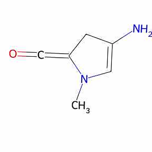 CN1C=C(N)CC1=C=O